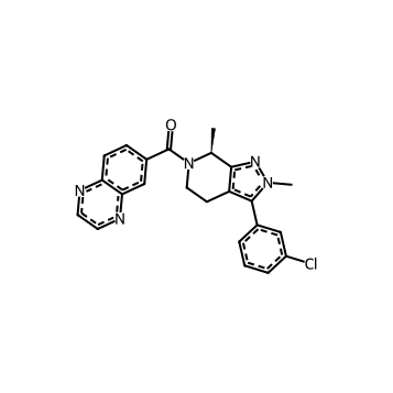 C[C@H]1c2nn(C)c(-c3cccc(Cl)c3)c2CCN1C(=O)c1ccc2nccnc2c1